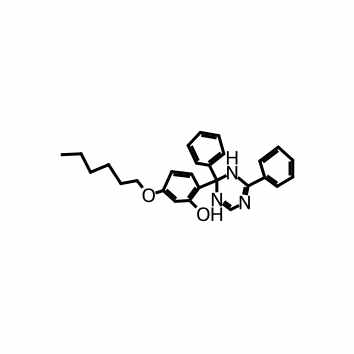 CCCCCCOc1ccc(C2(c3ccccc3)N=CN=C(c3ccccc3)N2)c(O)c1